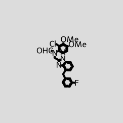 COc1ccc(N(C=O)Cc2nc3c(Cc4cccc(F)c4)cccc3[nH]2)c(Cl)c1OC